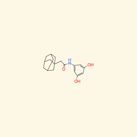 O=C(CC12CC3CC(CC(C3)C1)C2)Nc1cc(O)cc(O)c1